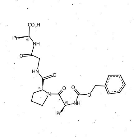 CC(C)[C@H](NC(=O)CNC(=O)[C@@H]1CCCN1C(=O)[C@@H](NC(=O)OCc1ccccc1)C(C)C)C(=O)O